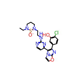 CCN1CCCN(CCNc2nccc(-c3c(-c4ccc(Cl)c(O)c4)nc4occn34)n2)[S+]1[O-]